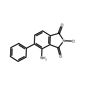 Nc1c(-c2ccccc2)ccc2c1C(=O)N(Cl)C2=O